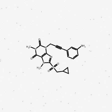 Cn1c(=O)c2c(nc(S(=O)(=O)CC3CC3)n2C)n(CC#Cc2cccc(N)c2)c1=O